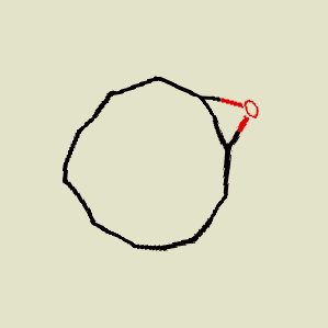 C1CCCCC2OC2CCC1